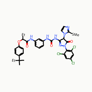 CCC(Oc1ccc(C(C)(C)CC)cc1)C(=O)Nc1cccc(NC(=O)NC2=NN(c3c(Cl)cc(Cl)cc3Cl)C(=O)C2n2ccnc2SC)c1